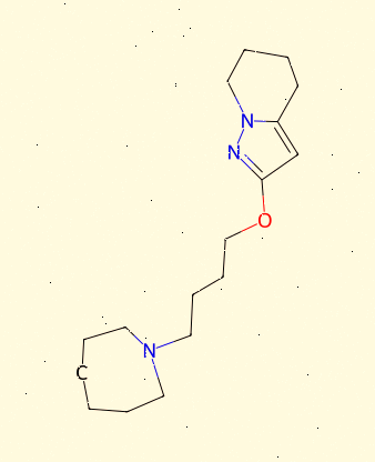 c1c(OCCCCN2CCCCCC2)nn2c1CCCC2